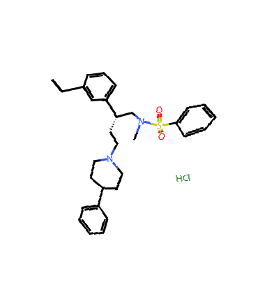 CCc1cccc([C@@H](CCN2CCC(c3ccccc3)CC2)CN(C)S(=O)(=O)c2ccccc2)c1.Cl